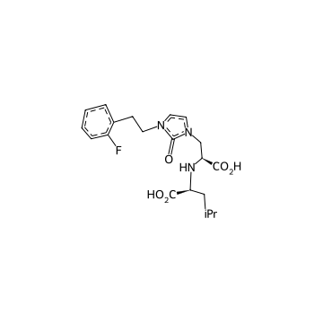 CC(C)C[C@H](N[C@@H](Cn1ccn(CCc2ccccc2F)c1=O)C(=O)O)C(=O)O